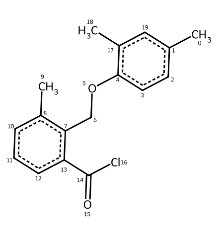 Cc1ccc(OCc2c(C)cccc2C(=O)Cl)c(C)c1